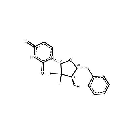 O=c1ccn([C@@H]2O[C@H](Cc3[c]cccc3)[C@@H](O)C2(F)F)c(=O)[nH]1